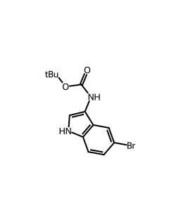 CC(C)(C)OC(=O)Nc1c[nH]c2ccc(Br)cc12